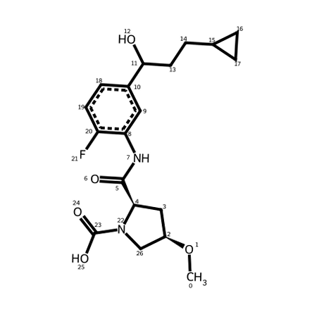 CO[C@@H]1C[C@H](C(=O)Nc2cc(C(O)CCC3CC3)ccc2F)N(C(=O)O)C1